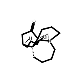 O=C1C[C@@H]2CCC[C@@]3(O)N4CCCC[C@@]23[C@@H]1CCC4